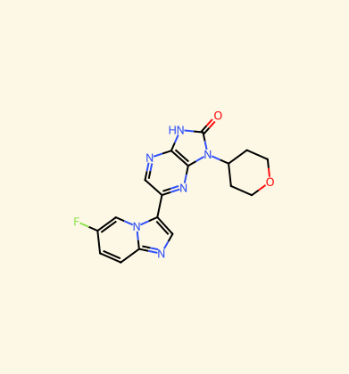 O=c1[nH]c2ncc(-c3cnc4ccc(F)cn34)nc2n1C1CCOCC1